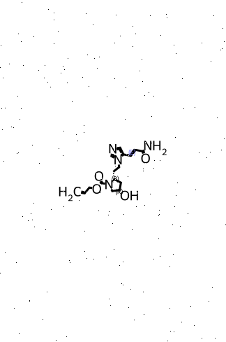 C=CCOC(=O)N1C[C@H](O)C[C@H]1CCn1cncc1/C=C/C(N)=O